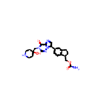 NC(=O)OCC1CCc2cc(-c3cnc4c(=O)n(CC5(O)CCNCC5)cnn34)ccc21